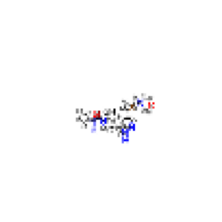 CC1CC(c2c[nH]c3ncc(-c4ccc(CN5CCOCC5)s4)cc23)=CCN1C(=O)NC1CCCC1